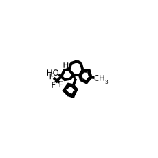 Cc1ccc2c(c1)CCC[C@@H]1C[C@@](O)(C(F)(F)F)CC[C@@]21Cc1ccccc1